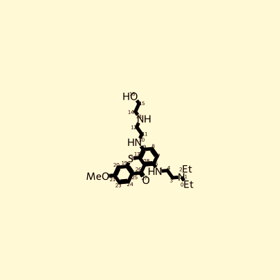 CCN(CC)CCNc1ccc(NCCNCCO)c2sc3cc(OC)ccc3c(=O)c12